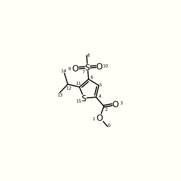 COC(=O)c1cc(S(C)(=O)=O)c(C(C)C)s1